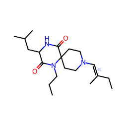 CCCN1C(=O)C(CC(C)C)NC(=O)C12CCN(/C=C(\C)CC)CC2